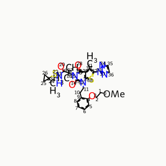 COCCOc1ccccc1CCn1c(=O)n(C(C)(C)C(=O)NSC2(C)CC2)c(=O)c2c(C)c(-n3nccn3)sc21